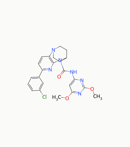 COc1cc(NC(=O)N2c3nc(-c4cccc(Cl)c4)ccc3N3CCC2CC3)nc(OC)n1